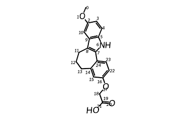 COc1ccc2[nH]c3c(c2c1)CCCc1cc(OCC(=O)O)ccc1-3